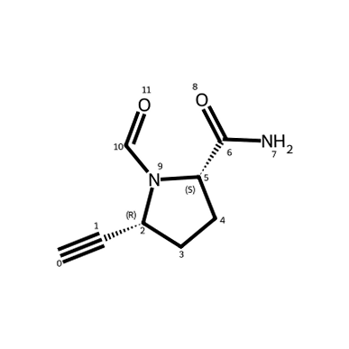 C#C[C@H]1CC[C@@H](C(N)=O)N1C=O